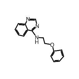 c1ccc(OCCNc2ncnc3ccccc23)cc1